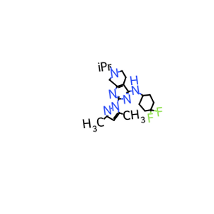 Cc1cc(C)n(-c2nc3c(c(NC4CCC(F)(F)CC4)n2)CCN(C(C)C)C3)n1